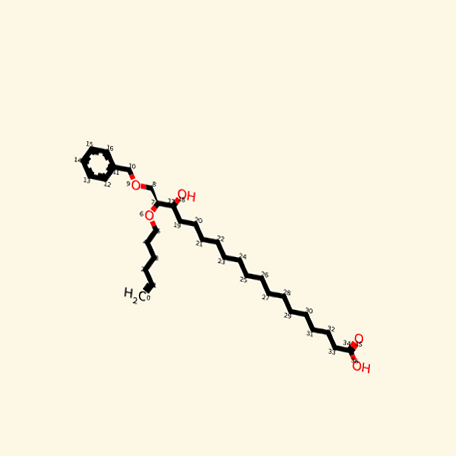 C=CCCCCO[C@@H](COCc1ccccc1)C(O)CCCCCCCCCCCCCCCC(=O)O